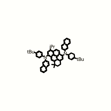 CC(C)c1cc(N(c2ccc(C(C)(C)C)cc2)c2ccc3ccccc3c2)c2cc3c4c(cc(N(C5=CC=C(C(C)(C)C)CC5)c5ccc6ccccc6c5)c5ccc1c2c54)CCC3(C)C